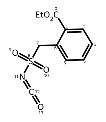 CCOC(=O)c1ccccc1CS(=O)(=O)N=C=O